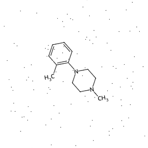 Cc1[c]cccc1N1CCN(C)CC1